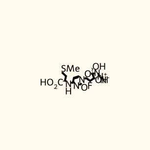 CSCC[C@H](Nc1ccn(C2O[C@@](CO)(N=[N+]=[N-])C(O)[C@@H]2F)c(=O)n1)C(=O)O